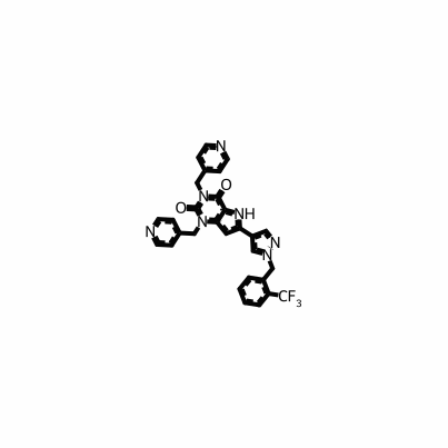 O=c1c2[nH]c(-c3cnn(Cc4ccccc4C(F)(F)F)c3)cc2n(Cc2ccncc2)c(=O)n1Cc1ccncc1